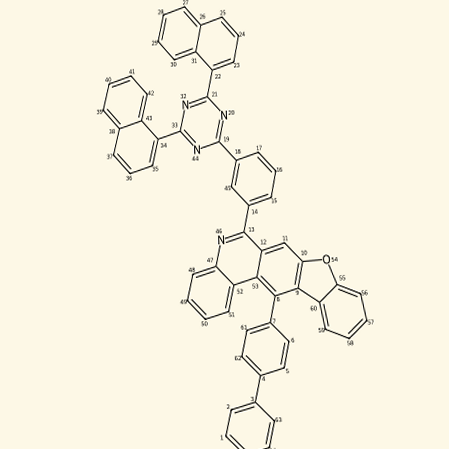 c1ccc(-c2ccc(-c3c4c(cc5c(-c6cccc(-c7nc(-c8cccc9ccccc89)nc(-c8cccc9ccccc89)n7)c6)nc6ccccc6c35)oc3ccccc34)cc2)cc1